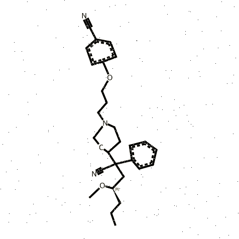 CCC[C@H](CC(C#N)(c1ccccc1)C1CCN(CCCOc2ccc(C#N)cc2)CC1)OC